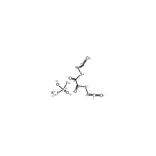 O=C=NSC(=O)C(=O)SN=C=O.O=P([O-])(F)F.[K+]